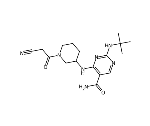 CC(C)(C)Nc1ncc(C(N)=O)c(NC2CCCN(C(=O)CC#N)C2)n1